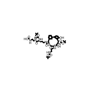 CN1C(=O)[C@H](CCCNC(=O)OC(C)(C)C)NC(=O)[C@@H](NC(=O)OC(C)(C)C)Cc2cc(ccc2O)-c2cccc(c2)C[C@H]1C(=O)NCCC[C@H](NC(=O)OC(C)(C)C)C(=O)NCCNC(=O)O